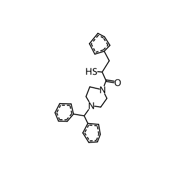 O=C(C(S)Cc1ccccc1)N1CCN(C(c2ccccc2)c2ccccc2)CC1